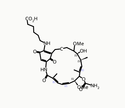 COC1CCCC2=C(NCCCCCC(=O)O)C(=O)C=C(NC(=O)/C(C)=C/C=C\[C@H](OC)C(OC(N)=O)/C(C)=C/[C@H](C)[C@@H]1O)C2=O